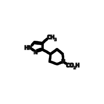 Cc1c[nH]nc1C1CCN(C(=O)O)CC1